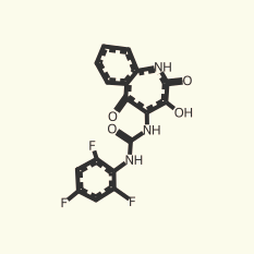 O=C(Nc1c(F)cc(F)cc1F)Nc1c(O)c(=O)[nH]c2ccccc2c1=O